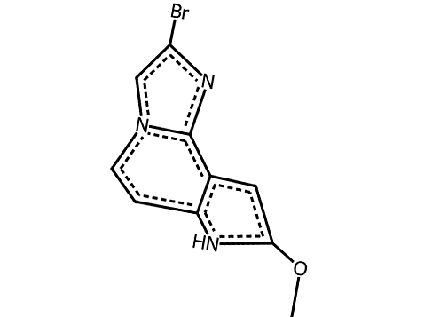 COc1cc2c(ccn3cc(Br)nc23)[nH]1